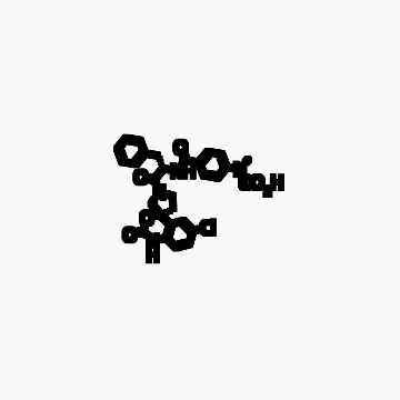 CN(C(=O)O)c1ccc(C(=O)N[C@@H](Cc2ccccc2)C(=O)N2CC[C@@]3(C2)OC(=O)Nc2ccc(Cl)cc23)cc1